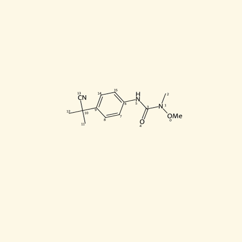 CON(C)C(=O)Nc1ccc(C(C)(C)C#N)cc1